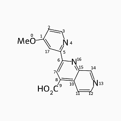 COc1ccnc(-c2cc(C(=O)O)c3ccncc3n2)c1